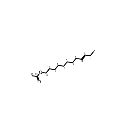 CCC=CCCCCCCCCOC(C)=O